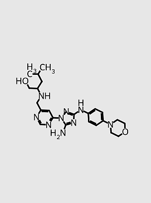 CC(C)CC(CO)NCc1cc(-n2nc(Nc3ccc(N4CCOCC4)cc3)nc2N)ncn1